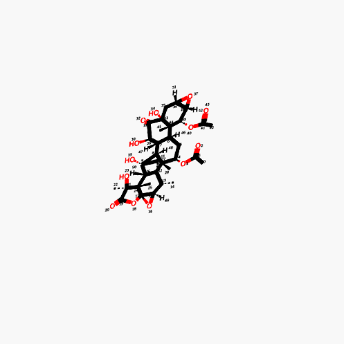 CC(=O)O[C@H]1C[C@H]2[C@H]([C@@H]3[C@@]4(O)C[C@@]5([C@H](C)[C@H]6O[C@]67OC(=O)[C@@](C)(O)[C@]7(C)[C@H]45)[C@@]13C)[C@@H](O)C(=O)[C@@]1(O)C[C@@H]3O[C@@H]3[C@H](OC(C)=O)[C@]21C